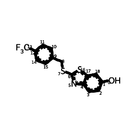 Oc1ccc2nc(SCc3ccc(C(F)(F)F)cc3)sc2c1